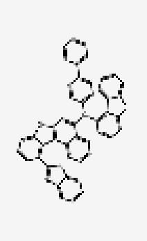 c1ccc(-c2ccc(N(c3cc4oc5cccc(-c6nc7ccccc7o6)c5c4c4ccccc34)c3cccc4sc5ccccc5c34)cc2)cc1